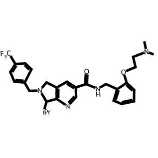 CC(C)C1c2ncc(C(=O)NCc3ccccc3OCCN(C)C)cc2CN1Cc1ccc(C(F)(F)F)cc1